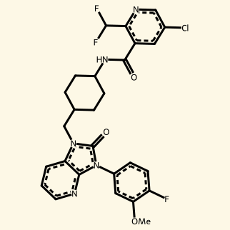 COc1cc(-n2c(=O)n(CC3CCC(NC(=O)c4cc(Cl)cnc4C(F)F)CC3)c3cccnc32)ccc1F